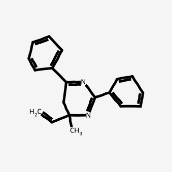 C=CC1(C)CC(c2ccccc2)=NC(c2ccccc2)=N1